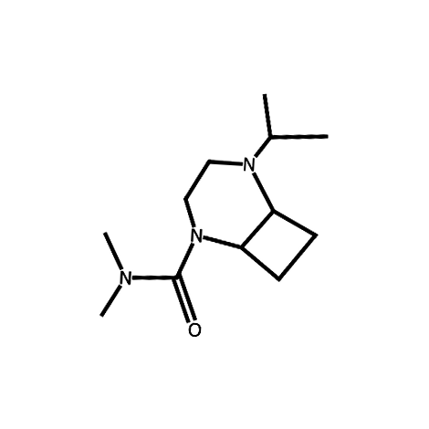 CC(C)N1CCN(C(=O)N(C)C)C2CCC21